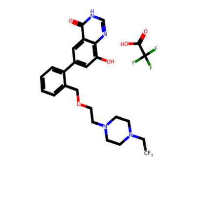 O=C(O)C(F)(F)F.O=c1[nH]cnc2c(O)cc(-c3ccccc3COCCN3CCN(CC(F)(F)F)CC3)cc12